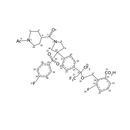 CC(=O)N1CCC(C(=O)N2CCC(c3ccc(C(OCc4c(F)cccc4C(=O)O)(C(F)(F)F)C(F)(F)F)cc3)(S(=O)(=O)c3ccc(F)cc3)C2)CC1